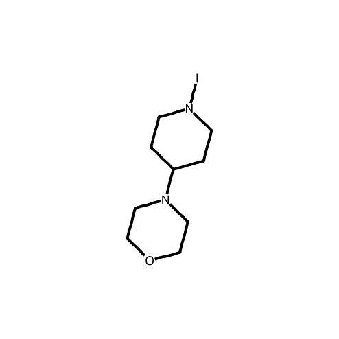 IN1CCC(N2CCOCC2)CC1